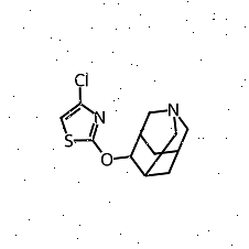 Clc1csc(OC2C3CC4CC2CN(C4)C3)n1